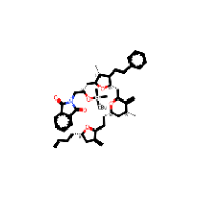 C=CCC[C@H]1CC(=C)C(CC[C@H]2C[C@@H](C)C(=C)C(C[C@@H]3OC(C[C@@H](CN4C(=O)c5ccccc5C4=O)O[Si](C)(C)C(C)(C)C)[C@H](C)C3CCc3ccccc3)O2)O1